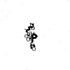 C[C@@H](CCC(=O)N(C)C)CNC(=O)n1c(=O)n(CCN2CCOCC2)c2ccccc21